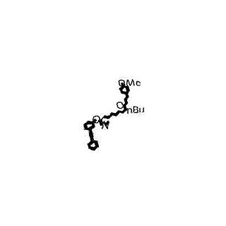 CCCCC(CCCCCC[C@@H](CN(C)C)Oc1cccc(C#Cc2ccccc2)c1)C(=O)CCCc1ccc(OC)cc1